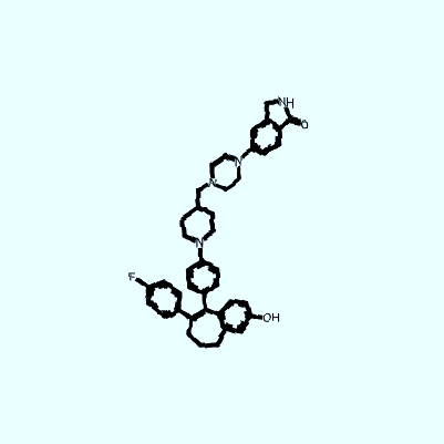 O=C1NCc2cc(N3CCN(CC4CCN(c5ccc(C6=C(c7ccc(F)cc7)CCCc7cc(O)ccc76)cc5)CC4)CC3)ccc21